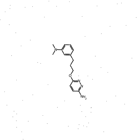 CN(C)c1cccc(CCCOc2ccc(N)nn2)c1